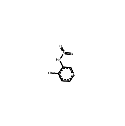 O=[SH](=O)Nc1cnccc1Cl